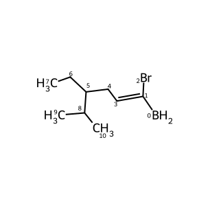 B/C(Br)=C/CC(CC)C(C)C